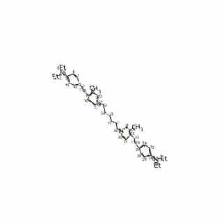 CCN(CC)c1ccc(/C=C/c2cc[n+](CCCCCC[n+]3ccc(/C=C/c4ccc(N(CC)CC)cc4)c(C)c3)cc2C)cc1